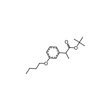 CCCCOc1cccc(C(C)C(=O)OC(C)(C)C)c1